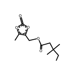 CCC(C)(C)CC(=O)OCc1oc(=O)oc1C